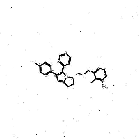 Cc1c(COC[C@@H]2CCc3nc(-c4ccc(F)cc4)c(-c4ccncc4)n32)cccc1[N+](=O)[O-]